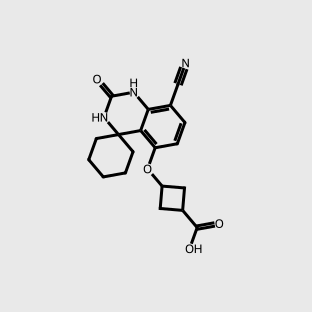 N#Cc1ccc(OC2CC(C(=O)O)C2)c2c1NC(=O)NC21CCCCC1